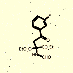 CCOC(=O)C(CC(=O)c1cccc(F)c1)(NC=O)C(=O)OCC